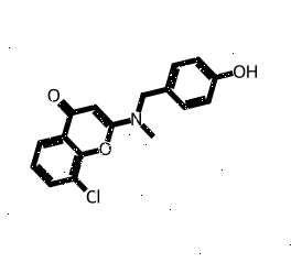 CN(Cc1ccc(O)cc1)c1cc(=O)c2cccc(Cl)c2o1